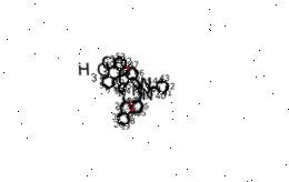 CC1(C)c2ccccc2C2(c3ccc(-c4ccc5ccccc5c4)cc3-c3c(-c4nc(-c5ccccc5)nc(-c5ccccc5)n4)cccc32)c2ccccc21